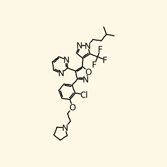 CC(C)CCn1ncc(-c2onc(-c3cccc(OCCN4CCCC4)c3Cl)c2-c2ncccn2)c1C(F)(F)F